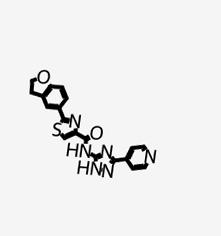 O=C(Nc1nc(-c2ccncc2)n[nH]1)c1csc(-c2ccc3c(c2)CCO3)n1